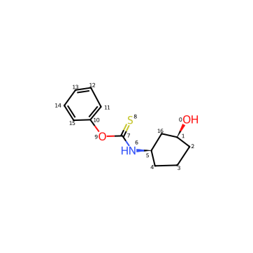 O[C@H]1CCC[C@@H](NC(=S)Oc2ccccc2)C1